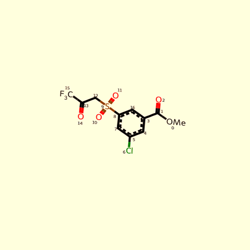 COC(=O)c1cc(Cl)cc(S(=O)(=O)CC(=O)C(F)(F)F)c1